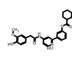 COc1cc(CC(=O)Nc2ccnc(-c3cccc(OC(=O)C4CCCCC4)c3)c2)ccc1O.Cl